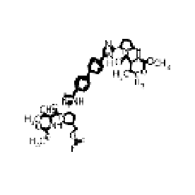 COC(=O)NC(C(=O)N1C[C@H](COC(F)F)C[C@H]1c1ncc(-c2ccc(-c3ccc(-c4cnc([C@@H]5CCCN5C(=O)[C@@H](NC(=O)OC)C(C)C)[nH]4)cc3)cc2)[nH]1)C(C)C